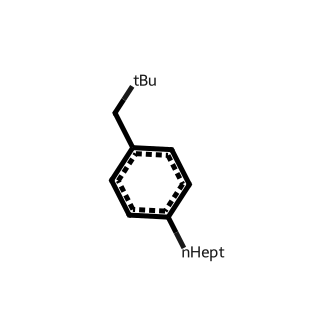 [CH2]CCCCCCc1ccc(CC(C)(C)C)cc1